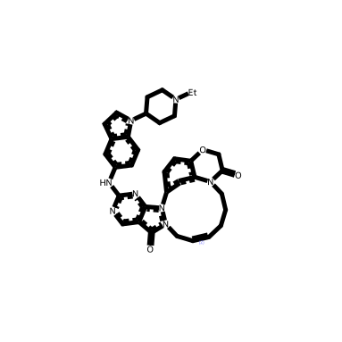 CCN1CCC(n2ccc3cc(Nc4ncc5c(=O)n6n(c5n4)-c4ccc5c(c4)N(CCC/C=C\C6)C(=O)CO5)ccc32)CC1